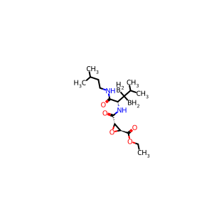 BC(B)(C(C)C)[C@H](NC(=O)[C@H]1O[C@@H]1C(=O)OCC)C(=O)NCCC(C)C